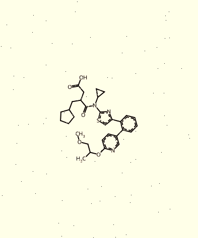 COCC(C)Oc1ccc(-c2ccccc2-c2csc(N(C(=O)C(CC(=O)O)CC3CCCC3)C3CC3)n2)cn1